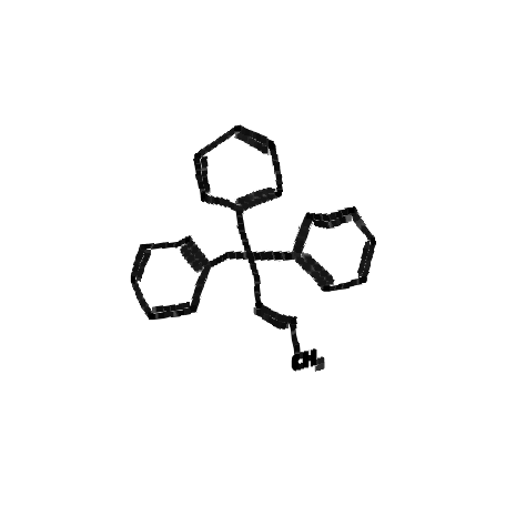 CC=CC(c1ccccc1)(c1ccccc1)c1ccccc1